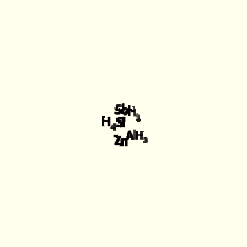 [AlH3].[SbH3].[SiH4].[Zn]